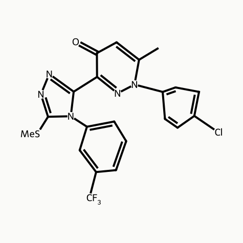 CSc1nnc(-c2nn(-c3ccc(Cl)cc3)c(C)cc2=O)n1-c1cccc(C(F)(F)F)c1